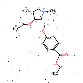 CCOC(=O)c1ccc(OC[C@@H]2[C@@H](OCC)[C@H](C)CN2C)cc1